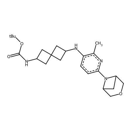 Cc1nc(N2C3COCC2C3)ccc1NC1CC2(CC(NC(=O)OC(C)(C)C)C2)C1